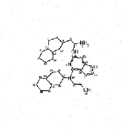 NC(O)CC1CCC2CCCCC2C1.OCCN(c1ncnc2[nH]ccc12)C1CCC2CCCCC2C1